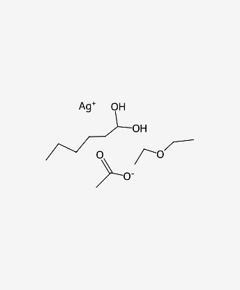 CC(=O)[O-].CCCCCC(O)O.CCOCC.[Ag+]